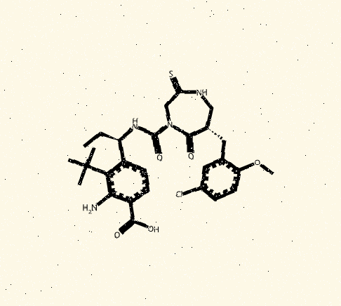 CC[C@@H](NC(=O)N1CC(=S)NC[C@H](Cc2cc(Cl)ccc2OC)C1=O)c1ccc(C(=O)O)c(N)c1C(C)(C)C